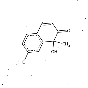 Cc1ccc2c(c1)C(C)(O)C(=O)C=C2